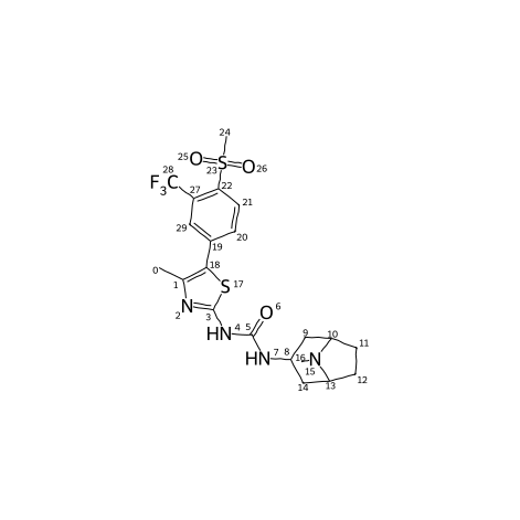 Cc1nc(NC(=O)NC2CC3CCC(C2)N3C)sc1-c1ccc(S(C)(=O)=O)c(C(F)(F)F)c1